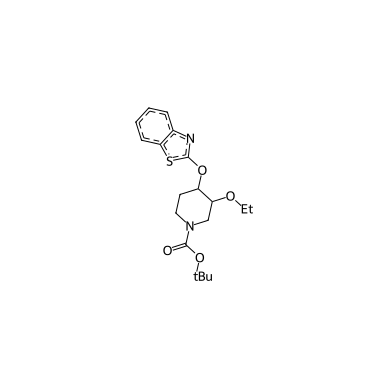 CCOC1CN(C(=O)OC(C)(C)C)CCC1Oc1nc2ccccc2s1